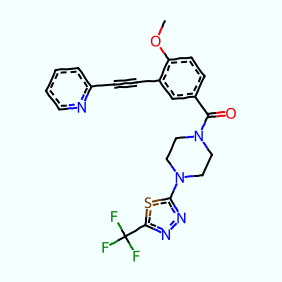 COc1ccc(C(=O)N2CCN(c3nnc(C(F)(F)F)s3)CC2)cc1C#Cc1ccccn1